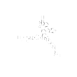 C=CC(=O)N1CC2(CCN(c3nc(N4CCC5(CCN(CCOC)CC5)CC4)nc4c(OCC(F)(F)F)c(-c5c(C)ccc6[nH]ncc56)c(C5CC5)cc34)CC2)C1